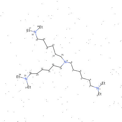 CCN(CC)CCCCCCN(CCCCCCN(CC)CC)CCCCCCN(CC)CC